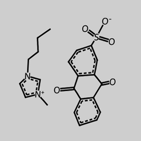 CCCCn1cc[n+](C)c1.O=C1c2ccccc2C(=O)c2cc(S(=O)(=O)[O-])ccc21